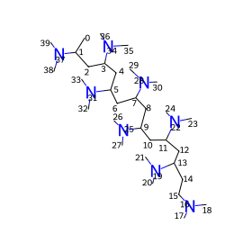 CC(CC(CC(CC(CC(CC(CC(CCN(C)C)N(C)C)N(C)C)N(C)C)N(C)C)N(C)C)N(C)C)N(C)C